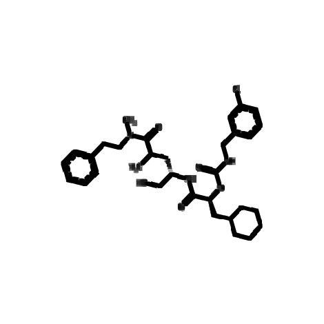 CC(C[C@@H](CO)NC(=O)[C@H](CC1CCCCC1)OC(=O)NCc1cccc(Cl)c1)C(=O)N(C)CCc1ccccc1